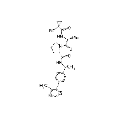 Cc1ncsc1-c1ccc(C(C)NC(=O)[C@@H]2CCCN2C(=O)[C@@H](NC(=O)C2(C#N)CC2)C(C)(C)C)cc1